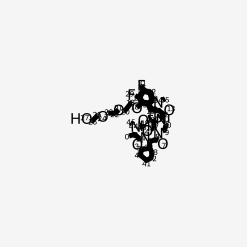 CC(C(=O)NC(C(=O)N1CCN(C(=O)c2cc3c(OCCOCCOCCO)c(F)c(F)cc3n2C)CC1)C1CCCCC1)N(C)C(=O)OC(C)(C)C